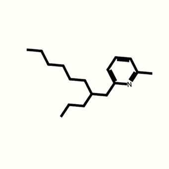 CCCCCCC(CCC)Cc1cccc(C)n1